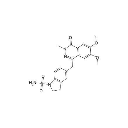 COc1cc2c(Cc3ccc4c(c3)CCN4S(N)(=O)=O)nn(C)c(=O)c2cc1OC